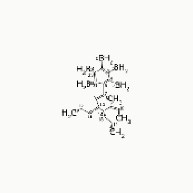 Bc1c(B)c(B)c(/C(C)=C/C(=C\C=C)C(/C=C\C)=C/C=C)c(B)c1B